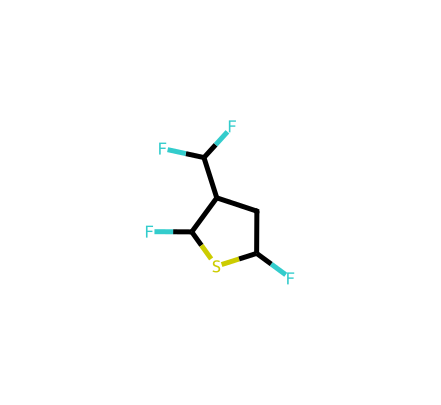 FC1CC(C(F)F)C(F)S1